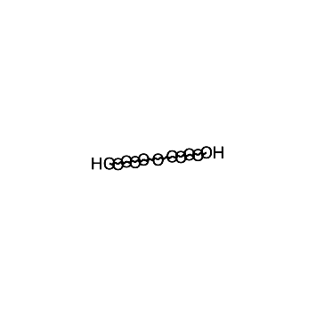 OCCOCCOCCOCCOCCCCOCCCCOCCOCCOCCOCCO